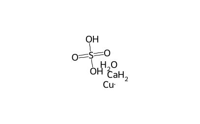 O.O=S(=O)(O)O.[CaH2].[Cu]